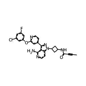 CC#CC(=O)NC1CC(n2nc(-c3ccnc(Oc4cc(F)cc(Cl)c4)c3)c3c(N)nccc32)C1